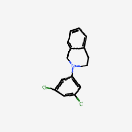 Clc1cc(Cl)cc(N2CCc3ccccc3C2)c1